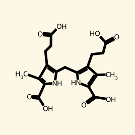 Cc1c(C(=O)O)[nH]c(Cc2[nH]c(C(=O)O)c(C)c2CCC(=O)O)c1CCC(=O)O